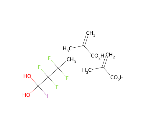 C=C(C)C(=O)O.C=C(C)C(=O)O.CC(F)(F)C(F)(F)C(O)(O)I